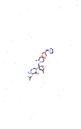 CC(C)C[C@@H]1NCCN([C@](C=O)(CC(C)C)CN2CCC3(C[C@@H]2C)OCC(CN2CCCC2)CO3)C1=O